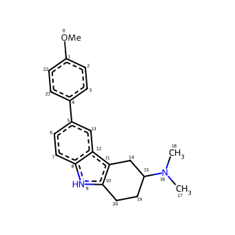 COc1ccc(-c2ccc3[nH]c4c(c3c2)CC(N(C)C)CC4)cc1